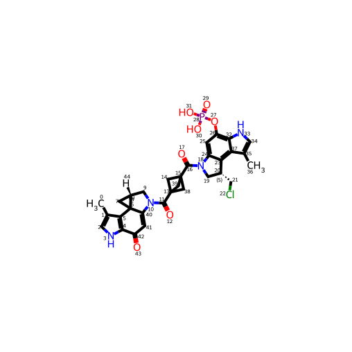 Cc1c[nH]c2c1C13C[C@@H]1CN(C(=O)C14CC(C(=O)N5C[C@@H](CCl)c6c5cc(OP(=O)(O)O)c5[nH]cc(C)c65)(C1)C4)C3=CC2=O